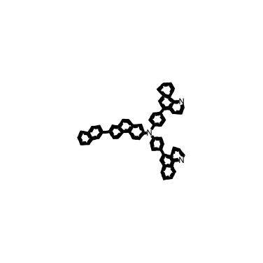 c1ccc2cc(-c3ccc4c(ccc5cc(N(c6ccc(-c7cc8ccccc8c8ncccc78)cc6)c6ccc(-c7cc8ccccc8c8ncccc78)cc6)ccc54)c3)ccc2c1